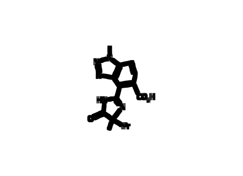 CC(C)C1(C)N=C(c2c(C(=O)O)ccc3c2nnn3C)NC1=O